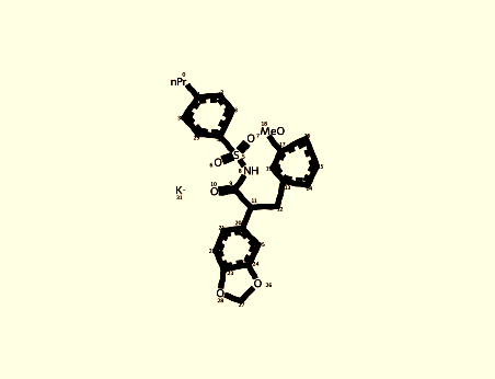 CCCc1ccc(S(=O)(=O)NC(=O)C(Cc2cccc(OC)c2)c2ccc3c(c2)OCO3)cc1.[K]